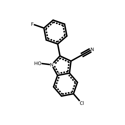 N#Cc1c(-c2cccc(F)c2)n(O)c2ccc(Cl)cc12